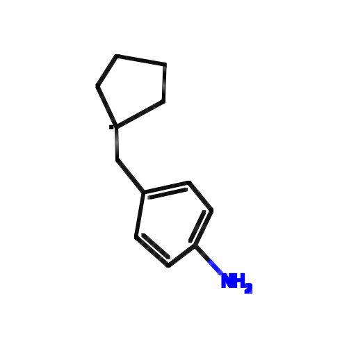 Nc1ccc(C[C]2CCCC2)cc1